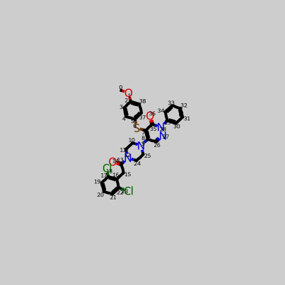 COc1ccc(Sc2c(N3CCN(C(=O)Cc4c(Cl)cccc4Cl)CC3)cnn(-c3ccccc3)c2=O)cc1